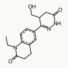 CCN1C(=O)CCc2cc(C3=NNC(=O)CC3CO)ccc21